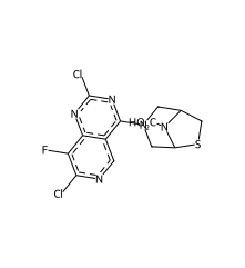 O=C(O)N1C2CSC1CN(c1nc(Cl)nc3c(F)c(Cl)ncc13)C2